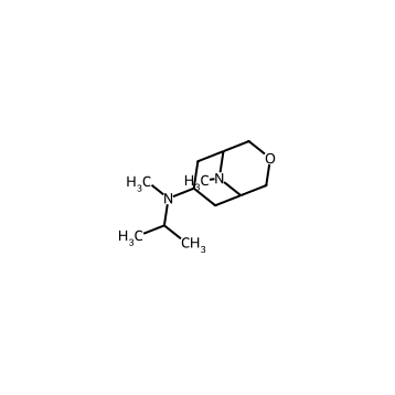 CC(C)N(C)C1CC2COCC(C1)N2C